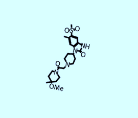 COC1(C)CCN(C(=O)CN2CCC(n3c(=O)[nH]c4cc(S(C)(=O)=O)c(C)cc43)CC2)CC1